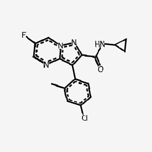 Cc1cc(Cl)ccc1-c1c(C(=O)NC2CC2)nn2cc(F)cnc12